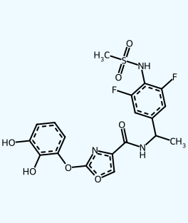 CC(NC(=O)c1coc(Oc2cccc(O)c2O)n1)c1cc(F)c(NS(C)(=O)=O)c(F)c1